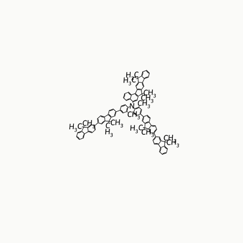 Cc1cc(-c2ccc3c(c2)C(C)(C)c2cc(-c4ccc5c(c4)C(C)(C)c4ccccc4-5)ccc2-3)ccc1N(c1ccc(-c2ccc3c(c2)C(C)(C)c2cc(-c4ccc5c(c4)C(C)(C)c4ccccc4-5)ccc2-3)cc1C)c1cc2c(c3ccccc13)-c1cc3c(cc1C2(C)C)-c1ccccc1C3(C)C